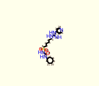 N=C(NCCCCCCS(=O)(=O)NC(=O)NC1CCCCCC1)Nc1ccncc1